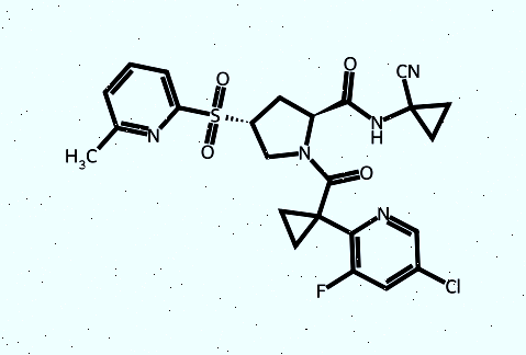 Cc1cccc(S(=O)(=O)[C@@H]2C[C@@H](C(=O)NC3(C#N)CC3)N(C(=O)C3(c4ncc(Cl)cc4F)CC3)C2)n1